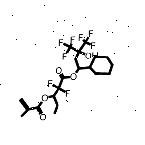 C=C(C)C(=O)OC(CC)C(F)(F)C(=O)OC(CC(O)(C(F)(F)F)C(F)(F)F)C1CCCCC1